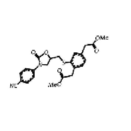 COC(=O)Cc1ccc(CC(=O)OC)c(SCC2CN(c3ccc(C#N)cc3)C(=O)O2)c1